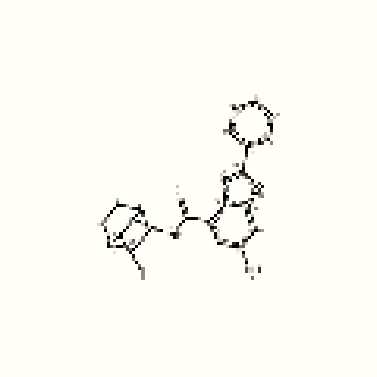 Nc1cc(C(=O)NC2C3CCN(CC3)C2I)c2nc(-c3ccccc3)oc2c1